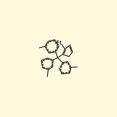 CCC1=C(C(c2cccc(C)c2)(c2cccc(C)c2)c2cccc(C)c2)CC=C1